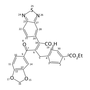 CCOC(=O)c1ccc(C/C(C(=O)c2ccc3c(c2)OCO3)=C(\C(=O)O)c2ccc3nsnc3c2)cc1